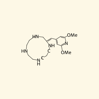 COc1cc(C=C2CNCCCNCCNCCCN2)cc(OC)n1